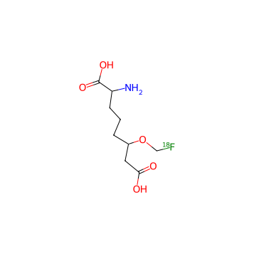 NC(CCCC(CC(=O)O)OC[18F])C(=O)O